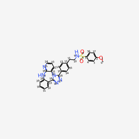 COc1ccc(S(=O)(=O)NCCc2ccc(-c3nnc4n3-c3cccnc3Nc3ccccc3-4)cc2)cc1